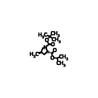 C=C1C[C@@H](C(=O)OC(C)C)N(C(=O)OC(C)(C)C)C1